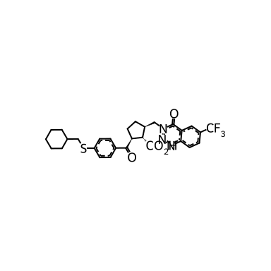 O=C(O)[C@H]1[C@H](Cn2nnc3ccc(C(F)(F)F)cc3c2=O)CC[C@@H]1C(=O)c1ccc(SCC2CCCCC2)cc1